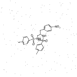 Cc1ccc(S(=O)(=O)NCC(Cc2ccc([N+](=O)[O-])cc2)NS(=O)(=O)c2ccc(C)cc2)cc1